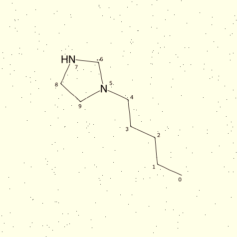 CCCCCN1[C]NCC1